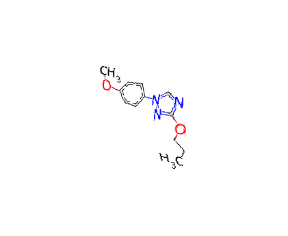 CCCOc1ncn(-c2ccc(OC)cc2)n1